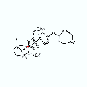 CCOC(=O)[C@@H]1[C@@H]2CC[C@H](CN1S(=O)(=O)c1ccc(OC3CCNCC3)nc1)N2C(=O)OCCOC